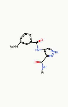 CC(=O)Nc1cccc(C(=O)Nc2c[nH]nc2C(=O)NC(C)C)c1